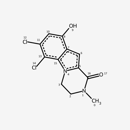 CN1CCn2c(cc3c(O)cc(Cl)c(Cl)c32)C1=O